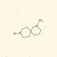 CC(C)N1CCC2(CCCN(C)C2)CC1